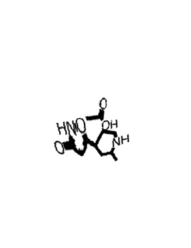 CC(=O)O.CC1CC(c2cc(=O)[nH]o2)CCN1